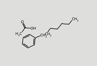 CC(=O)O.CCCCCC.Cc1ccccc1